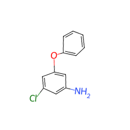 Nc1cc(Cl)cc(Oc2ccccc2)c1